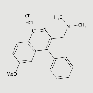 COc1ccc2c(c1)C(c1ccccc1)=C(CN(C)C)N=[C+]2.Cl.[Cl-]